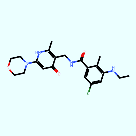 CCNc1cc(Cl)cc(C(=O)NCc2c(C)[nH]c(N3CCOCC3)cc2=O)c1C